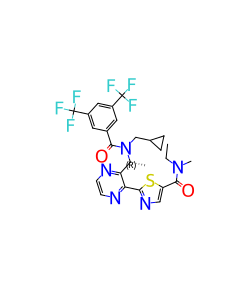 CCN(C)C(=O)c1cnc(-c2nccnc2[C@@H](C)N(CC2CC2)C(=O)c2cc(C(F)(F)F)cc(C(F)(F)F)c2)s1